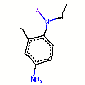 CCN(I)c1ccc(N)cc1C